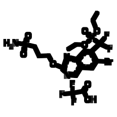 CCOP(=O)(OCC)C(F)(F)c1cc2nc(OCCCS(N)(=O)=O)ncc2cc1Br.O=C(O)C(F)(F)F